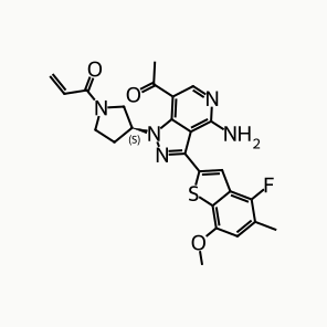 C=CC(=O)N1CC[C@H](n2nc(-c3cc4c(F)c(C)cc(OC)c4s3)c3c(N)ncc(C(C)=O)c32)C1